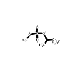 COP(=O)([O-])OC(C)C.[Li+]